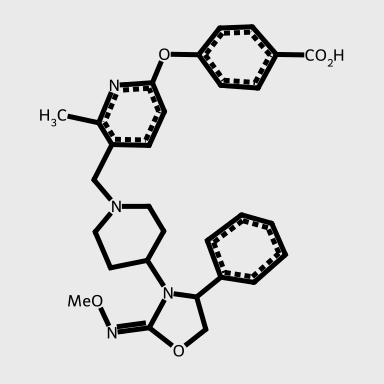 CON=C1OCC(c2ccccc2)N1C1CCN(Cc2ccc(Oc3ccc(C(=O)O)cc3)nc2C)CC1